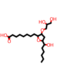 CCCCCC(O)C1CC(OCC(O)CO)C(CCCCCCCC(=O)O)O1